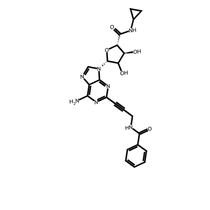 Nc1nc(C#CCNC(=O)c2ccccc2)nc2c1ncn2[C@@H]1O[C@H](C(=O)NC2CC2)[C@@H](O)C1O